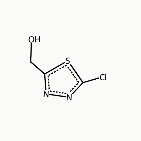 OCc1nnc(Cl)s1